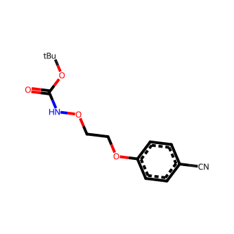 CC(C)(C)OC(=O)NOCCOc1ccc(C#N)cc1